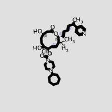 C/C(=C\C=C\C(C)c1ccncc1)[C@H]1OC(=O)C[C@@H](O)CC[C@](C)(O)[C@@H](OC(=O)N2CCN(C3CCCCCC3)CC2)/C=C/[C@@H]1C